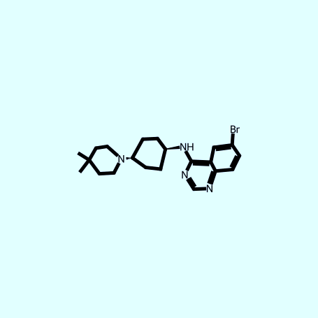 CC1(C)CCN([C@H]2CC[C@H](Nc3ncnc4ccc(Br)cc34)CC2)CC1